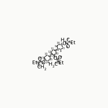 C=C(CC)C(=O)Oc1ccc(-c2ccc(-c3ccc(OC(=O)C(=C)CC)cc3)c(OC(=O)C(=C)CC)c2)cc1